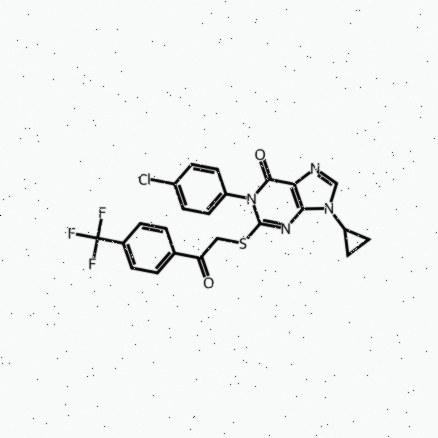 O=C(CSc1nc2c(ncn2C2CC2)c(=O)n1-c1ccc(Cl)cc1)c1ccc(C(F)(F)F)cc1